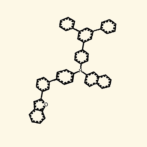 c1ccc(-c2cc(-c3ccccc3)cc(-c3ccc(N(c4ccc(-c5cccc(-c6cc7ccccc7o6)c5)cc4)c4ccc5ccccc5c4)cc3)c2)cc1